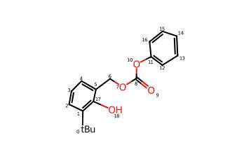 CC(C)(C)c1cccc(COC(=O)Oc2ccccc2)c1O